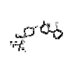 Cc1nc(-c2ccccc2F)ccc1CN1CCN(C(=O)OC(C(F)(F)F)C(F)(F)F)CC1